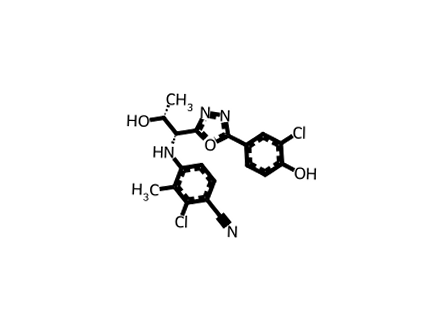 Cc1c(N[C@@H](c2nnc(-c3ccc(O)c(Cl)c3)o2)[C@@H](C)O)ccc(C#N)c1Cl